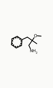 COC(C)(CN)Cc1ccccc1